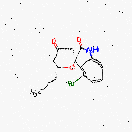 CCC[C@@H]1CC(=O)C[C@]2(O1)C(=O)Nc1cccc(Br)c12